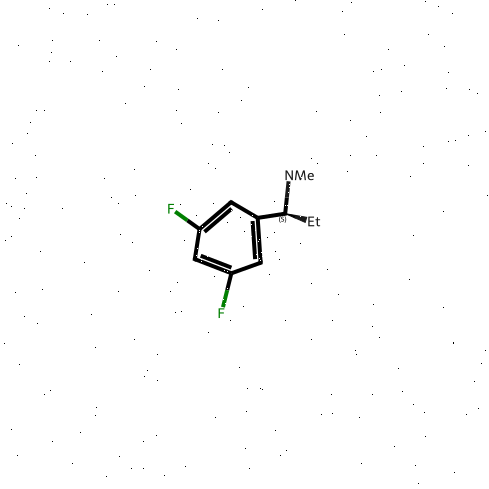 CC[C@H](NC)c1cc(F)cc(F)c1